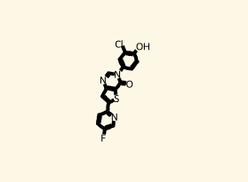 O=c1c2sc(-c3ccc(F)cn3)cc2ncn1-c1ccc(O)c(Cl)c1